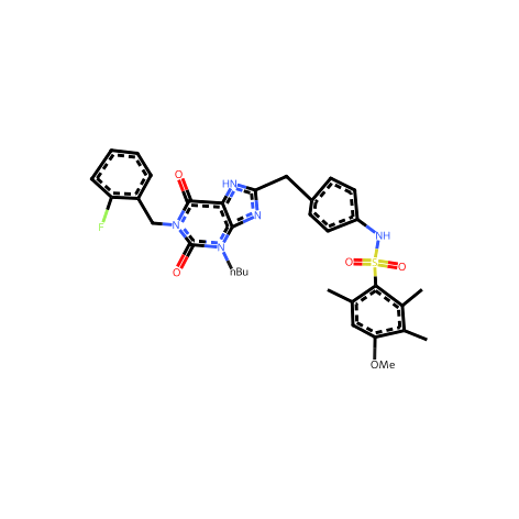 CCCCn1c(=O)n(Cc2ccccc2F)c(=O)c2[nH]c(Cc3ccc(NS(=O)(=O)c4c(C)cc(OC)c(C)c4C)cc3)nc21